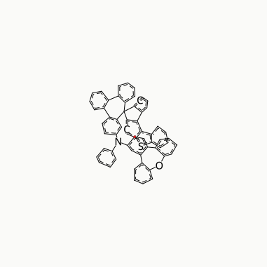 c1ccc(N(c2ccc3c(c2)-c2ccccc2Oc2ccccc2-3)c2ccc3c(c2)C2(c4ccccc4-c4ccccc4-3)c3ccccc3-c3c2ccc2sc4ccccc4c32)cc1